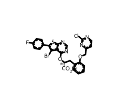 CCOC(=O)[C@@H](Cc1ccccc1OCc1ccnc(Cl)n1)Oc1ncnc2sc(-c3ccc(F)cc3)c(Br)c12